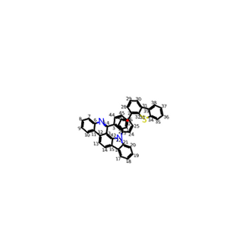 c1ccc(-c2nc3ccccc3c3ccc4c5ccccc5n(-c5ccc(-c6cccc7c6sc6ccccc67)cc5)c4c23)cc1